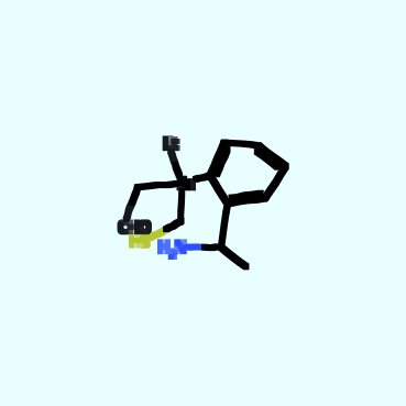 C[CH2][Sn]([CH2]S)([CH2]C=O)[c]1ccccc1C(C)N